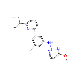 CCC(CC)c1cccc(-c2cc(C)cc(Nc3nccc(OC)n3)c2)n1